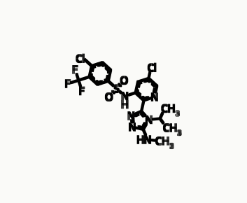 CNc1nnc(-c2ncc(Cl)cc2NS(=O)(=O)c2ccc(Cl)c(C(F)(F)F)c2)n1C(C)C